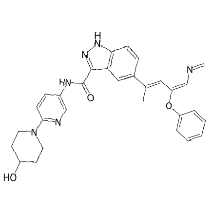 C=N/C=C(\C=C(/C)c1ccc2[nH]nc(C(=O)Nc3ccc(N4CCC(O)CC4)nc3)c2c1)Oc1ccccc1